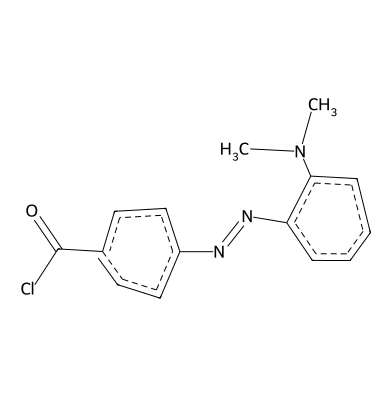 CN(C)c1ccccc1/N=N/c1ccc(C(=O)Cl)cc1